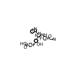 N#CCC(=O)N1CCC[C@@H](Nc2nc(-c3cnn4ccccc34)nc(-c3ccc(CN4CCN(C(=O)O)CC4)c(O)c3)c2F)C1